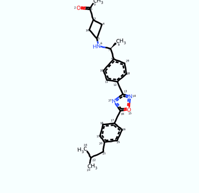 CC(=O)C1CC(N[C@@H](C)c2ccc(-c3noc(-c4ccc(CC(C)C)cc4)n3)cc2)C1